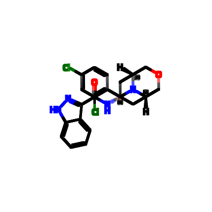 O=C(N[C@H]1C[C@H]2COC[C@@H](C1)N2Cc1ccc(Cl)cc1Cl)c1n[nH]c2ccccc12